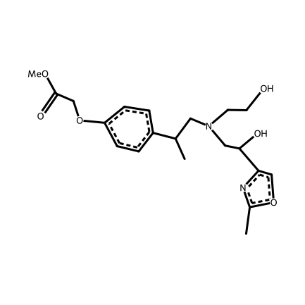 COC(=O)COc1ccc(C(C)CN(CCO)CC(O)c2coc(C)n2)cc1